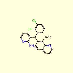 COc1c(C(c2cccnc2N)c2cccc(Cl)c2Cl)ccc2cccnc12